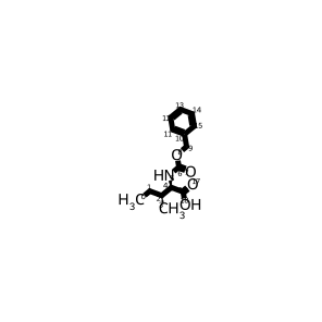 CC[C@@H](C)[C@@H](NC(=O)OCc1ccccc1)C(=O)O